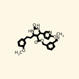 COc1cccc(CCC2=C(C(=O)OCc3cccc(C#N)c3)C(c3ccc(OC)nc3)NC(=O)N2)c1